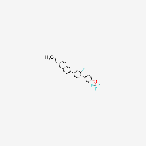 CCCc1ccc2cc(-c3ccc(-c4ccc(OC(F)(F)F)cc4)c(F)c3)ccc2c1